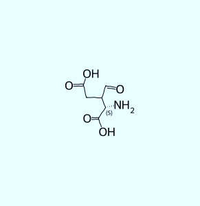 N[C@H](C(=O)O)C(C=O)CC(=O)O